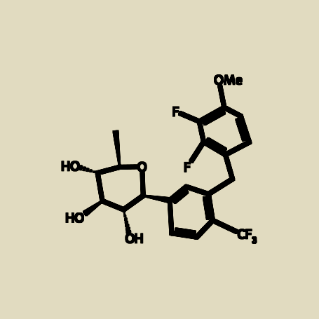 COc1ccc(Cc2cc([C@@H]3O[C@H](C)[C@@H](O)[C@H](O)[C@H]3O)ccc2C(F)(F)F)c(F)c1F